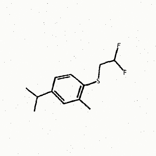 Cc1cc(C(C)C)ccc1SCC(F)F